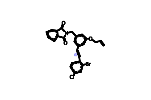 C=CCOc1cc(/C=C/c2ccc(Cl)cc2Br)cc(CN2C(=O)c3ccccc3C2=O)c1